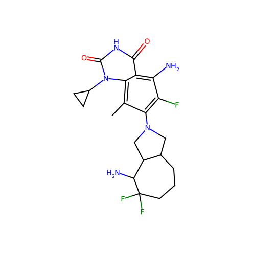 Cc1c(N2CC3CCCC(F)(F)C(N)C3C2)c(F)c(N)c2c(=O)[nH]c(=O)n(C3CC3)c12